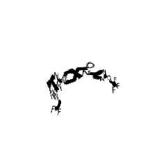 O=C1CC2(CCN(c3ncc4cnn(CC(F)F)c4n3)CC2)CN1c1cnc(OCC(F)(F)F)nc1